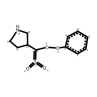 O=S(=O)=C(COc1ccccc1)C1CCNC1